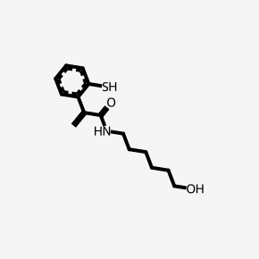 C=C(C(=O)NCCCCCCO)c1ccccc1S